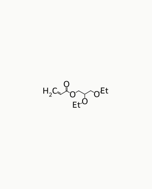 C=CC(=O)OCC(COCC)OCC